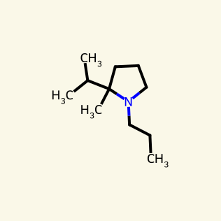 CCCN1CCCC1(C)C(C)C